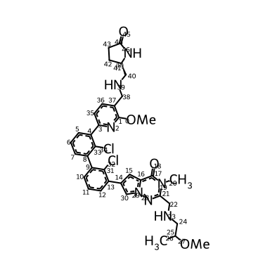 COc1nc(-c2cccc(-c3cccc(-c4cc5c(=O)n(C)c(CNCC(C)OC)nn5c4)c3Cl)c2Cl)ccc1CNC[C@H]1CCC(=O)N1